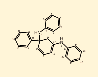 C1=CC(Nc2ccccc2)(c2ccccc2)CC(Nc2ccccc2)=C1